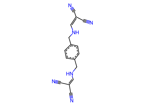 N#CC(C#N)=CNCc1ccc(CNC=C(C#N)C#N)cc1